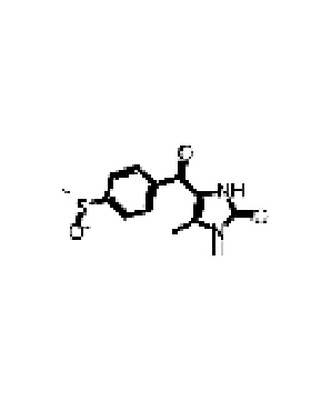 Cc1[nH]c(=O)[nH]c1C(=O)c1ccc([S@@+](C)[O-])cc1